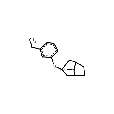 CCc1cccc(OC2CC3CCC(C2)N3C)c1